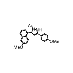 COc1ccc(C2=CC(c3cccc4cc(OC)ccc34)N(C(C)=O)N2)cc1